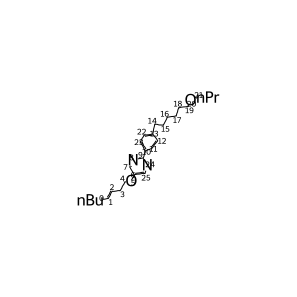 CCCCC=CCCOc1cnc(-c2ccc(CCCCCCOCCC)cc2)nc1